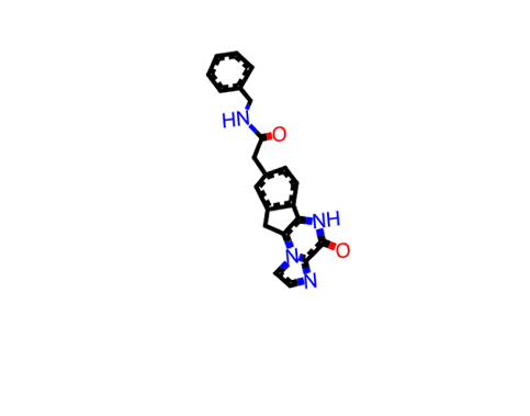 O=C(Cc1ccc2c(c1)Cc1c-2[nH]c(=O)c2nccn12)NCc1ccccc1